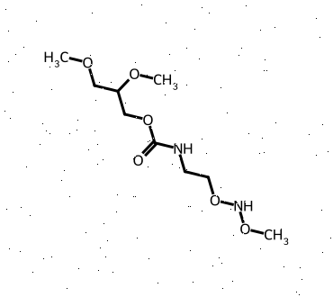 COCC(COC(=O)NCCONOC)OC